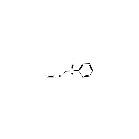 [N-]=[N+]=NCS(=O)(=O)c1ccccc1